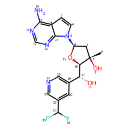 C[C@]1(O)C[C@H](n2ccc3c(N)ncnc32)O[C@@H]1[C@H](O)c1cncc(C(F)F)c1